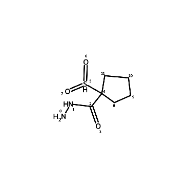 NNC(=O)C1([SH](=O)=O)CCCC1